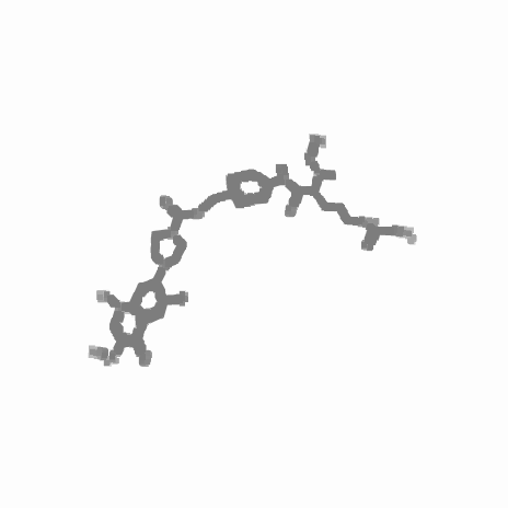 CCn1cc(C(=O)O)c(=O)c2cc(F)c(N3CCN(C(=O)OCc4ccc(NC(=O)[C@H](CCCNC(N)=O)N(C)N=N)cc4)CC3)cc21